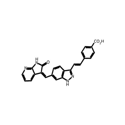 O=C1Nc2ncccc2/C1=C/c1ccc2c(/C=C/c3ccc(C(=O)O)cc3)n[nH]c2c1